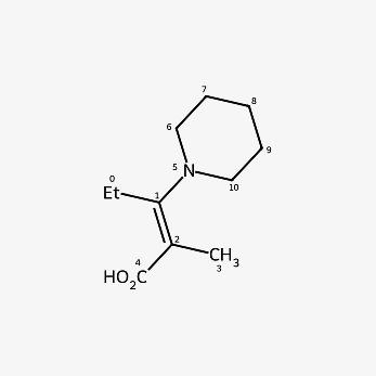 CCC(=C(C)C(=O)O)N1CCCCC1